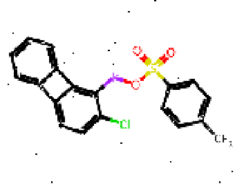 O=S(=O)(O[I+]c1c(Cl)ccc2c1-c1ccccc1-2)c1ccc(C(F)(F)F)cc1